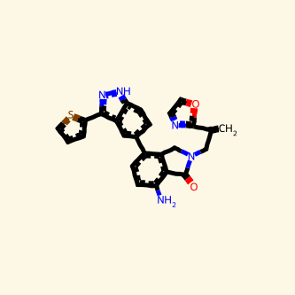 C=C(CN1Cc2c(-c3ccc4[nH]nc(-c5cccs5)c4c3)ccc(N)c2C1=O)c1ncco1